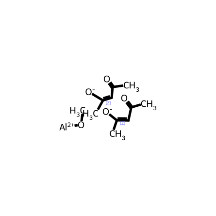 CC(=O)/C=C(/C)[O-].CC(=O)/C=C(/C)[O-].C[O][Al+2]